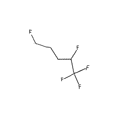 F[CH]CCC(F)C(F)(F)F